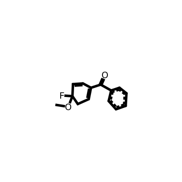 COC1(F)C=CC(C(=O)c2ccccc2)=CC1